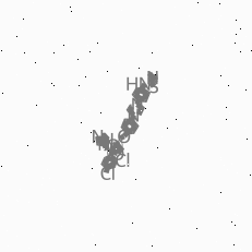 CN(C)C(=S)Nc1ccc(N2CCN(c3ccc(OC[C@@H]4CO[C@@](Cn5cncn5)(c5ccc(Cl)cc5Cl)O4)cc3)CC2)cc1